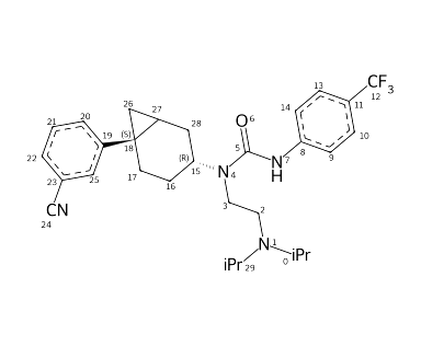 CC(C)N(CCN(C(=O)Nc1ccc(C(F)(F)F)cc1)[C@@H]1CC[C@]2(c3cccc(C#N)c3)CC2C1)C(C)C